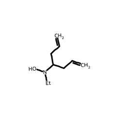 C=CCC(CC=C)N(O)CC